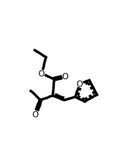 CCOC(=O)C(=Cc1ccco1)C(C)=O